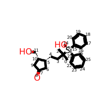 CC(C)(CC[C@@H]1CC(=O)C[C@@H]1CO)[Si](O)(c1ccccc1)c1ccccc1